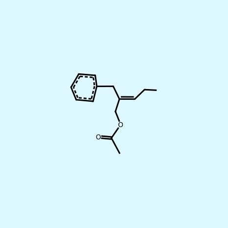 CC/C=C(/COC(C)=O)Cc1ccccc1